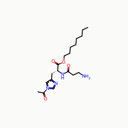 CCCCCCCCOC(=O)[C@@H](Cc1cn(C(C)=O)cn1)NC(=O)CCN